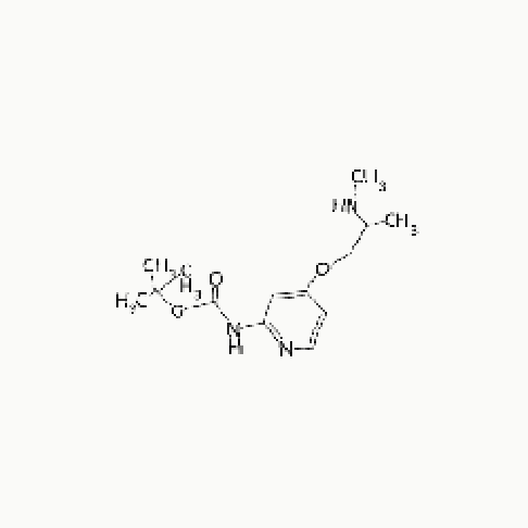 CNC(C)COc1ccnc(NC(=O)OC(C)(C)C)c1